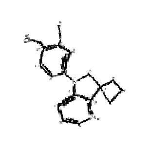 Fc1cc(N2CC3(CCC3)c3ncccc32)ccc1Cl